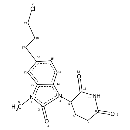 Cn1c(=O)n(C2CCC(=O)NC2=O)c2ccc(CCCCl)cc21